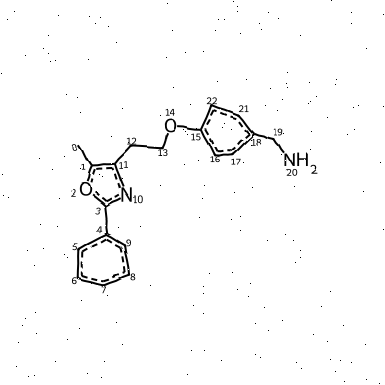 Cc1oc(-c2ccccc2)nc1CCOc1ccc(CN)cc1